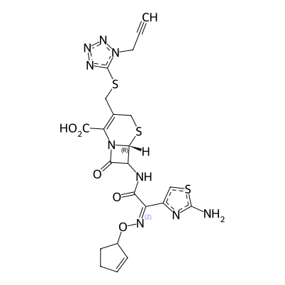 C#CCn1nnnc1SCC1=C(C(=O)O)N2C(=O)C(NC(=O)/C(=N\OC3C=CCC3)c3csc(N)n3)[C@H]2SC1